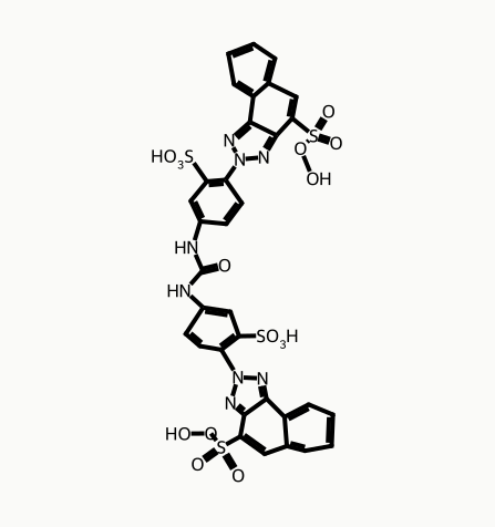 O=C(Nc1ccc(-n2nc3c(S(=O)(=O)OO)cc4ccccc4c3n2)c(S(=O)(=O)O)c1)Nc1ccc(-n2nc3c(S(=O)(=O)OO)cc4ccccc4c3n2)c(S(=O)(=O)O)c1